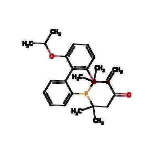 C=COc1cccc(OC(C)C)c1-c1ccccc1P1C(C)(C)CC(=O)CC1(C)C